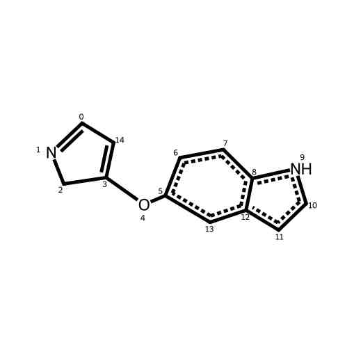 C1=NCC(Oc2ccc3[nH]ccc3c2)=C1